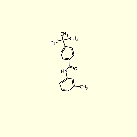 Cc1cccc(NC(=O)c2ccc(C(C)(C)C)cc2)c1